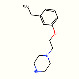 CC(C)(C)Cc1cccc(OCCN2CCNCC2)c1